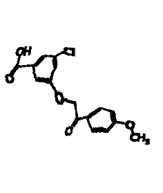 COc1ccc(C(=O)COc2cc(Cl)cc(C(=O)O)c2)cc1